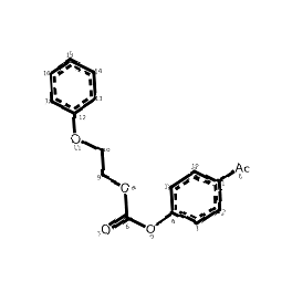 CC(=O)c1ccc(OC(=O)OCCOc2ccccc2)cc1